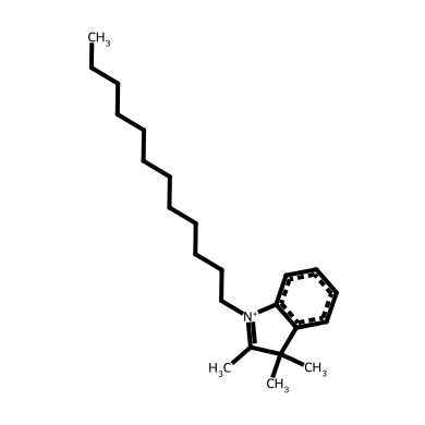 CCCCCCCCCCCC[N+]1=C(C)C(C)(C)c2ccccc21